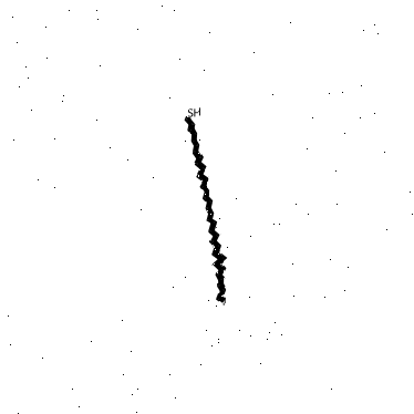 SCCCCCCCCCCCCCCCCCCCCCCCCCCCCCCCCCI